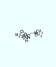 CC1CSC(Nc2ncc(CCCN(C)C)cc2OCc2ccccc2)=N1